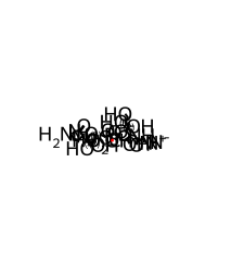 [N-]=[N+]=NCC(=O)NC1C(O)CC(OP(=O)(O)OC[C@H]2O[C@@H](n3ccc(N)nc3=O)[C@@H](O)[C@H]2O)(C(=O)O)OC1[C@H](O)[C@H](O)CO